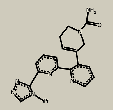 CC(C)n1cnnc1-c1cccc(-c2ncccc2C2=CCCN(C(N)=O)C2)n1